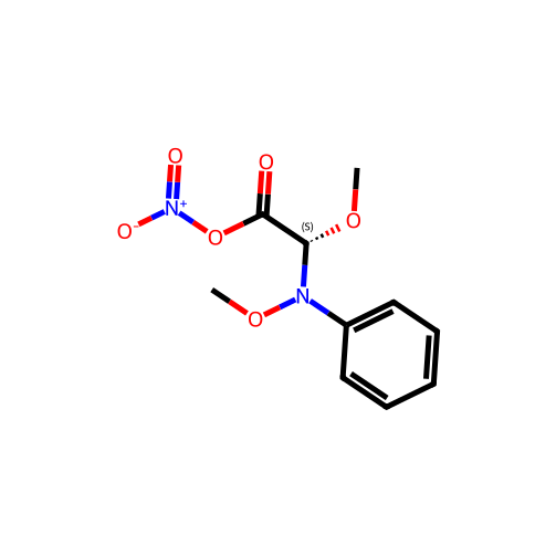 CO[C@@H](C(=O)O[N+](=O)[O-])N(OC)c1ccccc1